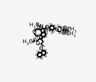 CCOC(=O)c1c(CCCOc2cccc3ccccc23)c2ccc(C)c3c2n1CCOCc1c-3c(COc2ccc(N3CCN(S(=O)(=O)N(C)C)CC3)cc2)nn1C